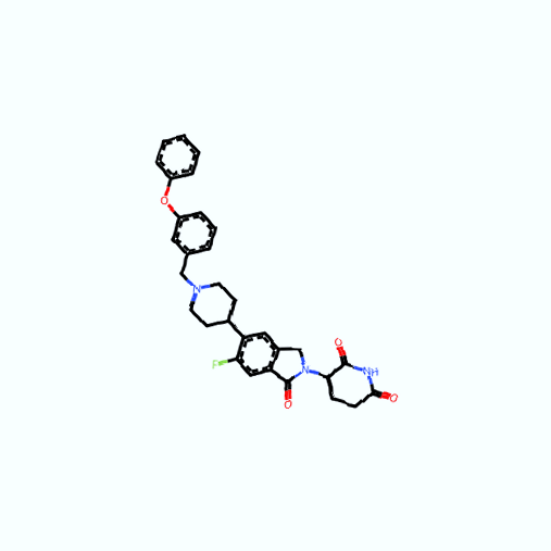 O=C1CCC(N2Cc3cc(C4CCN(Cc5cccc(Oc6ccccc6)c5)CC4)c(F)cc3C2=O)C(=O)N1